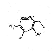 Nc1ccc(CCl)c(C(=O)O)c1Br